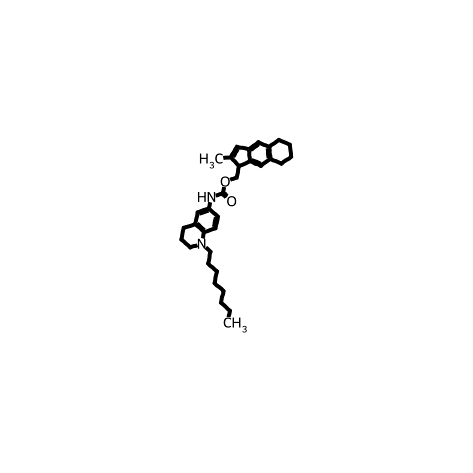 CCCCCCCCN1CCCc2cc(NC(=O)OCC3C(C)=Cc4cc5c(cc43)CCCC5)ccc21